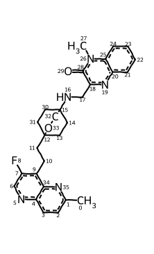 Cc1ccc2ncc(F)c(CCC34CCC(NCc5nc6ccccc6n(C)c5=O)(CC3)CO4)c2n1